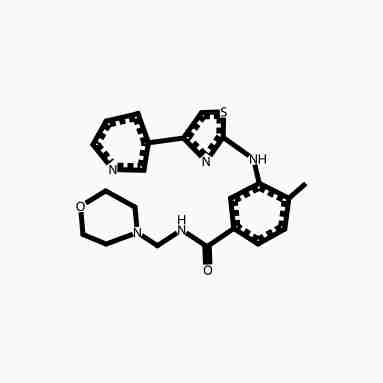 Cc1ccc(C(=O)NCN2CCOCC2)cc1Nc1nc(-c2cccnc2)cs1